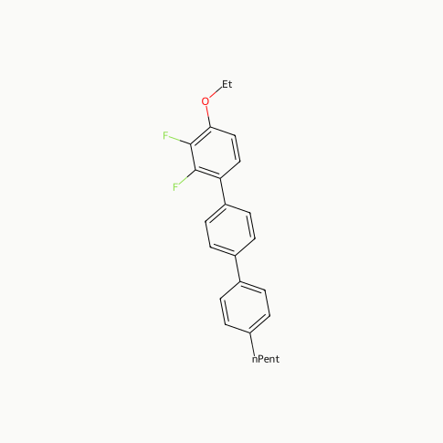 CCCCCc1ccc(-c2ccc(-c3ccc(OCC)c(F)c3F)cc2)cc1